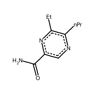 CCCc1ncc(C(N)=O)nc1CC